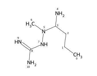 CCCC(N)N(C)NC(=N)N